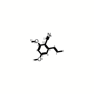 CC=Cc1cc(OC)cc(OC)c1C#N